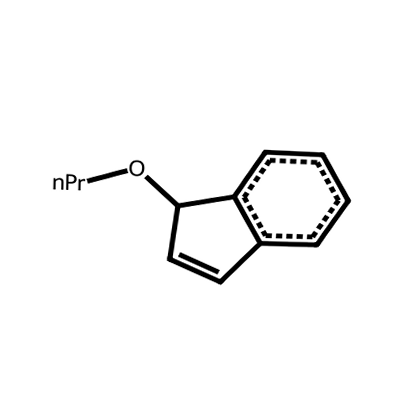 CCCOC1C=Cc2ccccc21